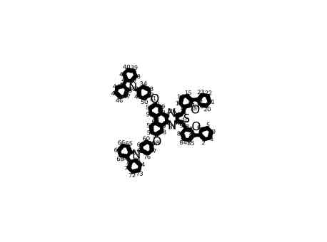 c1ccc2c(c1)oc1c(-c3sc(-c4cccc5c4oc4ccccc45)c4nc5c6cc(Oc7ccc(-n8c9ccccc9c9ccccc98)cc7)ccc6c6ccc(Oc7ccc(-n8c9ccccc9c9ccccc98)cc7)cc6c5nc34)cccc12